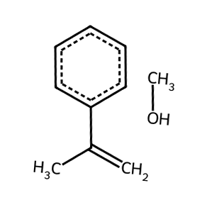 C=C(C)c1ccccc1.CO